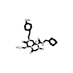 CCN1CC(=O)N2[C@@H](CC(=O)O)C(=O)N(CCc3ccc(OC)cc3)C[C@@H]2N1C(=O)NCc1ccccc1